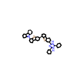 C1=Cc2c(c3ccccc3n2-c2cccc3c2sc2cc(-c4cccc5c4sc4cc(C6N=C(c7ccccc7)NC(c7ccccc7)N6)ccc45)ccc23)CC1